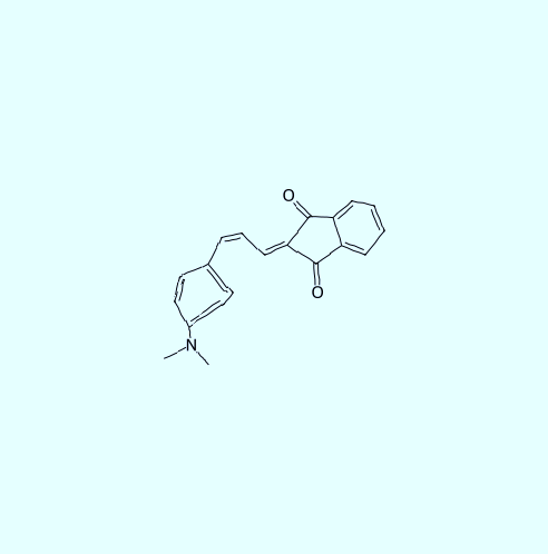 CN(C)c1ccc(/C=C\C=C2C(=O)c3ccccc3C2=O)cc1